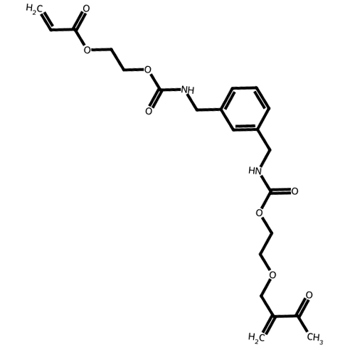 C=CC(=O)OCCOC(=O)NCc1cccc(CNC(=O)OCCOCC(=C)C(C)=O)c1